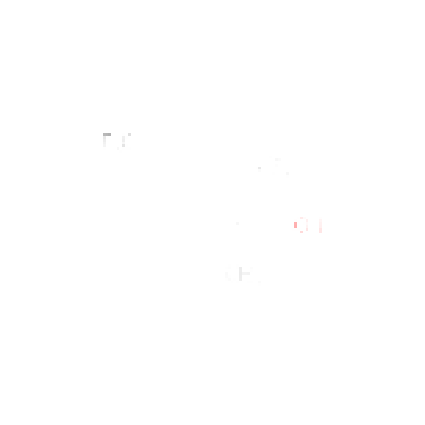 CC(O)(CCC(F)(F)F)C(F)(F)F